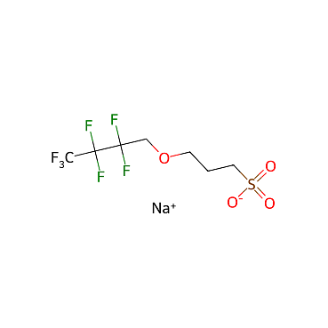 O=S(=O)([O-])CCCOCC(F)(F)C(F)(F)C(F)(F)F.[Na+]